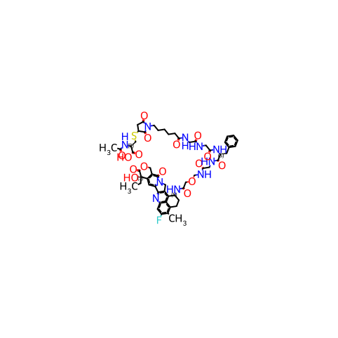 CC[C@@]1(O)C(=O)OCc2c1cc1n(c2=O)Cc2c-1nc1cc(F)c(C)c3c1c2[C@@H](NC(=O)COCNC(=O)CNC(=O)[C@H](Cc1ccccc1)NC(=O)CNC(=O)CNC(=O)CCCCCN1C(=O)CC(SC[C@H](NC(C)=O)C(=O)O)C1=O)CC3